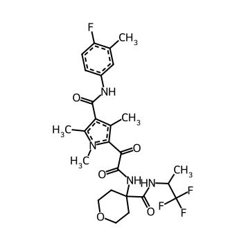 Cc1cc(NC(=O)c2c(C)c(C(=O)C(=O)NC3(C(=O)NC(C)C(F)(F)F)CCOCC3)n(C)c2C)ccc1F